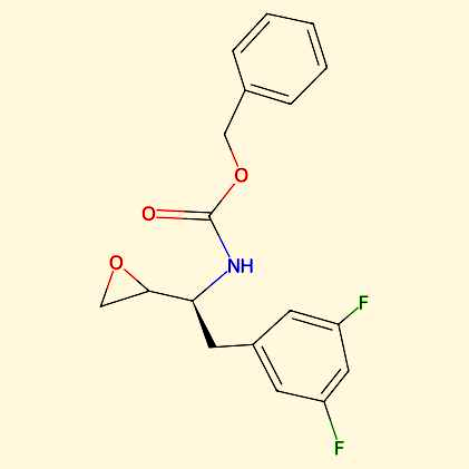 O=C(N[C@@H](Cc1cc(F)cc(F)c1)C1CO1)OCc1ccccc1